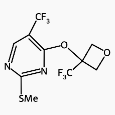 CSc1ncc(C(F)(F)F)c(OC2(C(F)(F)F)COC2)n1